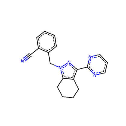 N#Cc1ccccc1Cn1nc(-c2ncccn2)c2c1CCCC2